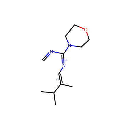 C=N/C(=N\C=C(/C)C(C)C)N1CCOCC1